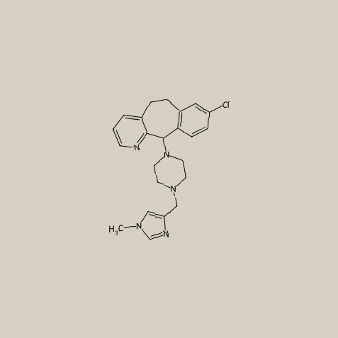 Cn1cnc(CN2CCN(C3c4ccc(Cl)cc4CCc4cccnc43)CC2)c1